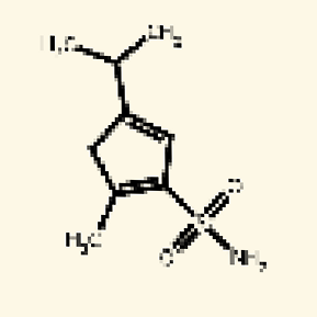 CC1=C(S(N)(=O)=O)C=C(C(C)C)C1